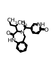 CCC(C)C1C(=O)Nc2ccccc2CN1C(=O)c1ccc(=O)[nH]c1